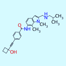 Cc1c(NC(=O)c2ccc(C#CC3(O)CCC3)cc2)ccc2cc(CNCC(C)C)n(C)c12